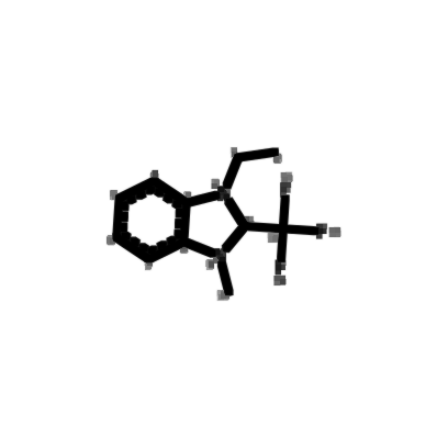 CCN1c2ccccc2N(C)C1C(F)(F)F